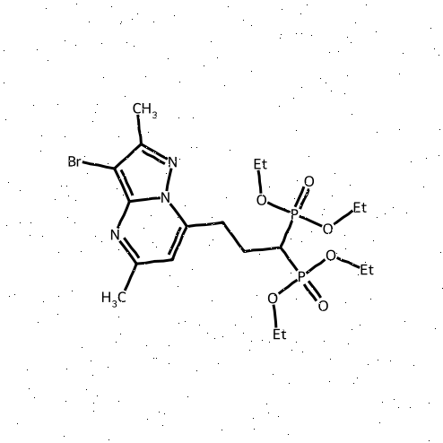 CCOP(=O)(OCC)C(CCc1cc(C)nc2c(Br)c(C)nn12)P(=O)(OCC)OCC